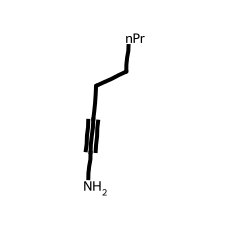 CCCCCC#CN